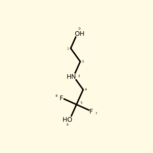 OCCNCC(O)(F)F